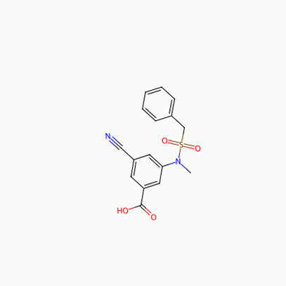 CN(c1cc(C#N)cc(C(=O)O)c1)S(=O)(=O)Cc1ccccc1